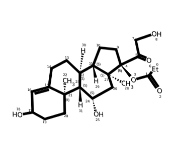 CCC(=O)O[C@]1(C(=O)CO)CC[C@H]2[C@@H]3CCC4=CC(O)CC[C@]4(C)[C@H]3[C@@H](O)C[C@@]21C